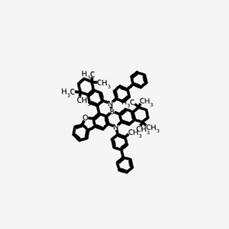 Cc1cc(-c2ccccc2)ccc1N1c2cc3c(cc2B2c4c1cc1c(oc5ccccc51)c4-c1cc4c(cc1N2c1ccc(-c2ccccc2)cc1)C(C)(C)CCC4(C)C)C(C)(C)CCC3(C)C